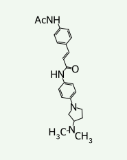 CC(=O)Nc1ccc(/C=C/C(=O)Nc2ccc(N3CCC(N(C)C)C3)cc2)cc1